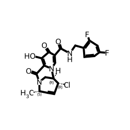 C[C@H]1C=C[C@@H](Cl)[C@H]2CN1C(=O)c1c(O)c(=O)c(C(=O)NCc3ccc(F)cc3F)cn12